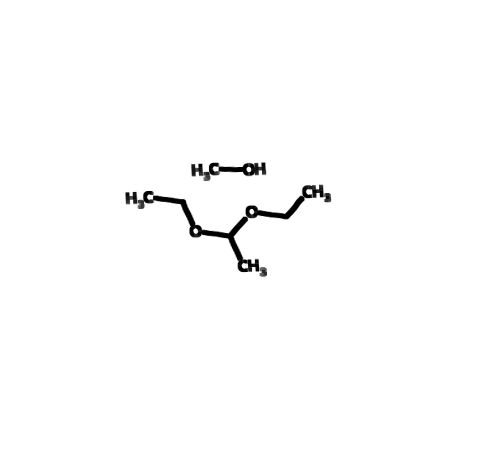 CCOC(C)OCC.CO